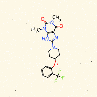 Cn1c(=O)c2nc(N3CCC(Oc4ccccc4C(F)(F)F)CC3)[nH]c2n(C)c1=O